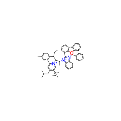 C=C1C2C(CCc3ccc4c(oc5ccccc54)c3-c3n(Cc4ccccc4)c4ccccc4[n+]31)c1ccc(C)cc1-c1cc(CC(C)C)c([Si](C)(C)C)c[n+]12